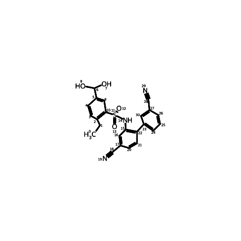 CCc1ccc(C(O)O)cc1S(=O)(=O)Nc1cc(C#N)ccc1-c1cccc(C#N)c1